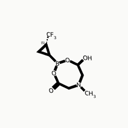 CN1CC(=O)OB(C2C[C@@H]2C(F)(F)F)OC(O)C1